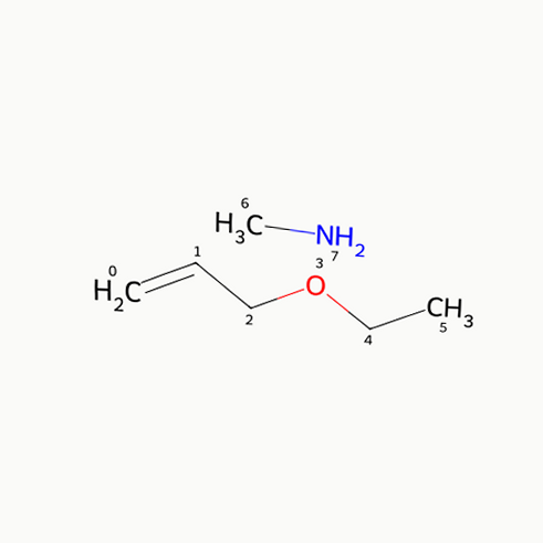 C=CCOCC.CN